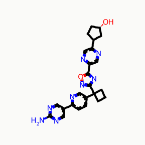 Nc1ncc(-c2ccc(C3(c4noc(-c5cnc(C6CC[C@H](O)C6)cn5)n4)CCC3)cn2)cn1